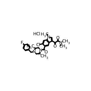 C[C@@H]1CN(Cc2ccc(F)cc2)[C@@H](C)CN1C(=O)c1cc2c(C(=O)C(=O)N(C)C)cn(C)c2cc1Cl.Cl